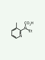 CCN(C(=O)O)c1ncccc1C